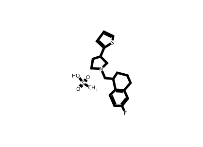 CS(=O)(=O)O.Fc1ccc2c(c1)CCCC2CN1CCC(c2cccs2)C1